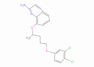 CC(CCCOc1ccc(Cl)c(Cl)c1)Oc1cccc2ccc(N)nc12